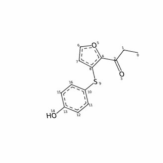 CCC(=O)c1occc1Sc1ccc(O)cc1